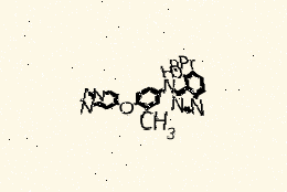 CCCOc1cccc2ncnc(Nc3ccc(Oc4ccn5ncnc5c4)c(C)c3)c12